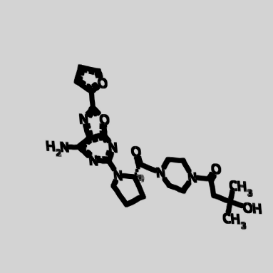 CC(C)(O)CC(=O)N1CCN(C(=O)[C@@H]2CCCN2c2nc(N)c3nc(-c4ccco4)oc3n2)CC1